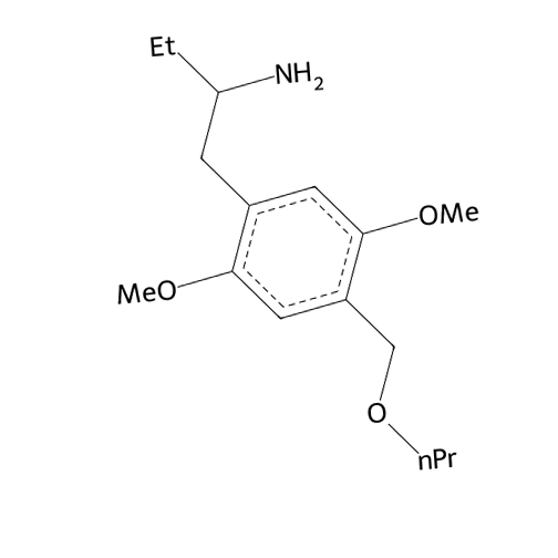 CCCOCc1cc(OC)c(CC(N)CC)cc1OC